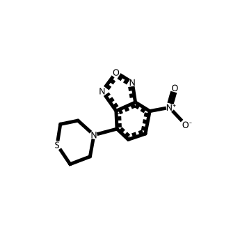 O=[N+]([O-])c1ccc(N2CCSCC2)c2nonc12